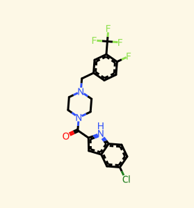 O=C(c1cc2cc(Cl)ccc2[nH]1)N1CCN(Cc2ccc(F)c(C(F)(F)F)c2)CC1